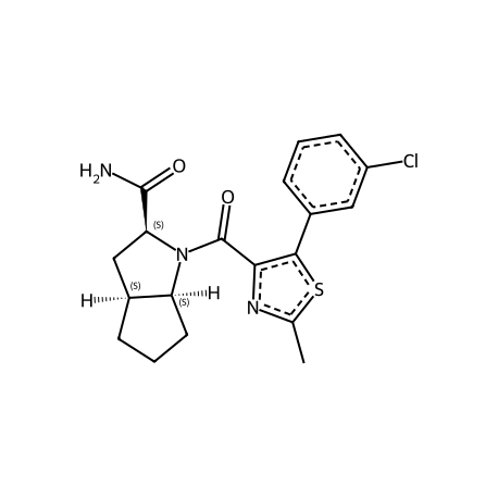 Cc1nc(C(=O)N2[C@H](C(N)=O)C[C@@H]3CCC[C@@H]32)c(-c2cccc(Cl)c2)s1